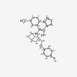 Cc1ccc(-n2nccn2)c(C(=O)N2C3CC(C3)C[C@@H]2COc2ccc(F)cc2)c1